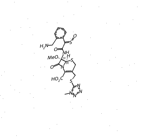 CO[C@@]1(NC(=O)C(=S=O)c2ccccc2CN)C(=O)N2C(C(=O)O)=C(CSc3nnnn3C)CS[C@@H]21